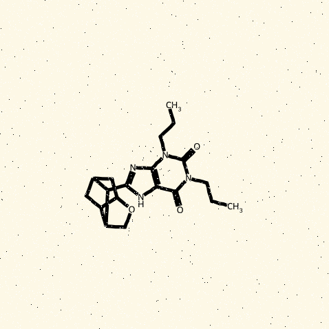 CCCn1c(=O)c2[nH]c(C3C4CC5OCC3C5C4)nc2n(CCC)c1=O